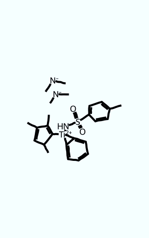 CC1=CC(C)[C]([Ti+2]2([NH]S(=O)(=O)c3ccc(C)cc3)[c]3cccc[c]32)=C1C.C[N-]C.C[N-]C